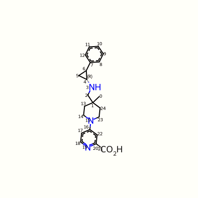 CC1(CN[C@@H]2CC2c2ccccc2)CCN(c2ccnc(C(=O)O)c2)CC1